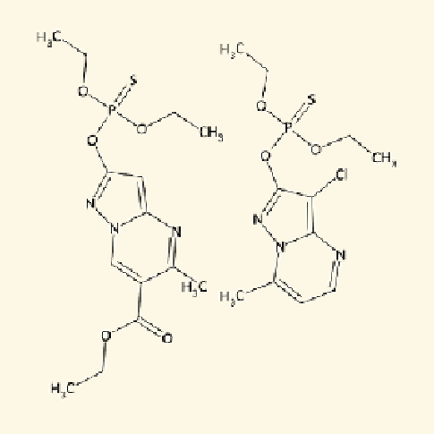 CCOC(=O)c1cn2nc(OP(=S)(OCC)OCC)cc2nc1C.CCOP(=S)(OCC)Oc1nn2c(C)ccnc2c1Cl